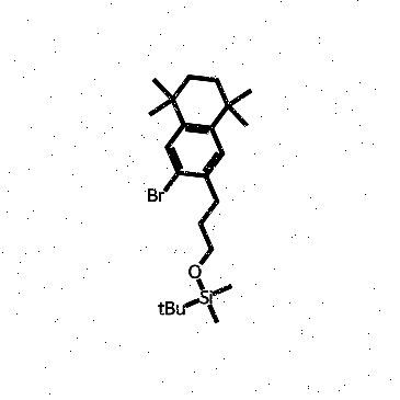 CC1(C)CCC(C)(C)c2cc(CCCO[Si](C)(C)C(C)(C)C)c(Br)cc21